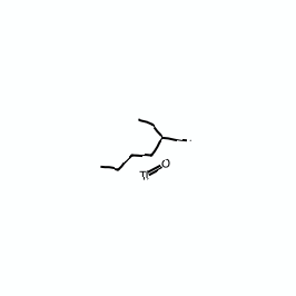 [CH2]C(CC)CCCC.[O]=[Ti]